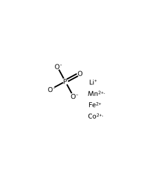 O=P([O-])([O-])[O-].[Co+2].[Fe+2].[Li+].[Mn+2]